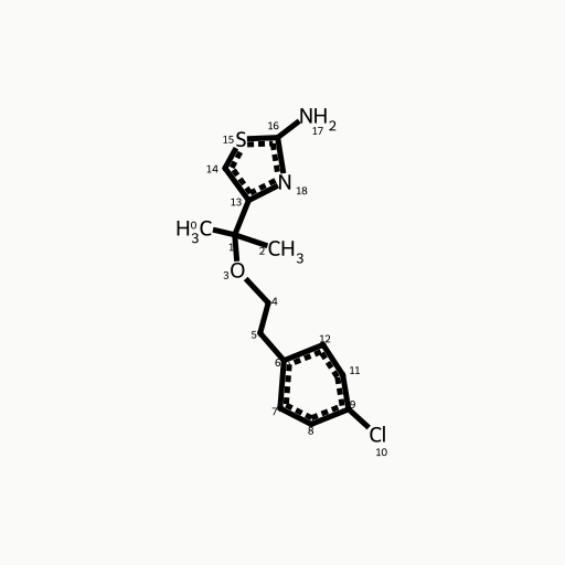 CC(C)(OCCc1ccc(Cl)cc1)c1csc(N)n1